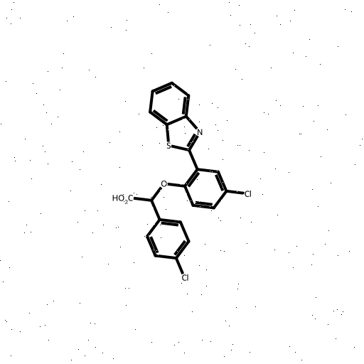 O=C(O)C(Oc1ccc(Cl)cc1-c1nc2ccccc2s1)c1ccc(Cl)cc1